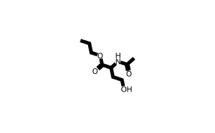 CCCOC(=O)C(CCO)NC(C)=O